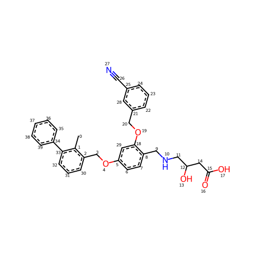 Cc1c(COc2ccc(CNCC(O)CC(=O)O)c(OCc3cccc(C#N)c3)c2)cccc1-c1ccccc1